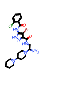 NC(CNC(=O)c1n[nH]c(NC(=O)c2ccccc2Cl)c1Br)N1CCC(N2CCCCC2)CC1